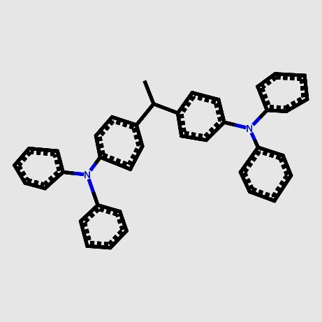 CC(c1ccc(N(c2ccccc2)c2ccccc2)cc1)c1ccc(N(c2ccccc2)c2ccccc2)cc1